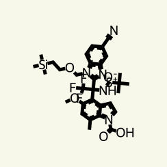 COc1cc(C)c2c(ccn2C(=O)O)c1C(N[S+]([O-])C(C)(C)C)(c1nc2cc(C#N)ccc2n1COCC[Si](C)(C)C)C(F)(F)F